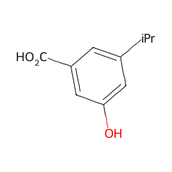 CC(C)c1cc(O)cc(C(=O)O)c1